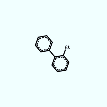 CCc1c[c]ccc1-c1ccccc1